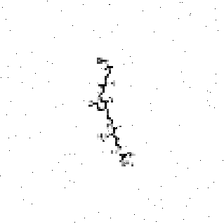 CCOC(C)(C)CCNC(=O)CCN1C(=O)CC(SCCNC(=O)C(N)CCCNC(=N)NC)C1=O